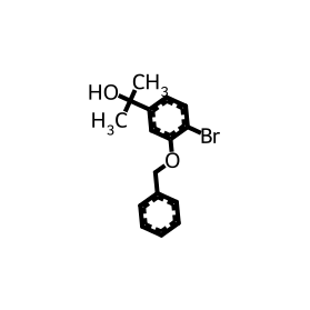 CC(C)(O)c1ccc(Br)c(OCc2ccccc2)c1